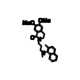 COc1cc2c(cc1OC)C(=O)N(CCCN(C)c1c(C)ccc3ccccc13)CC2